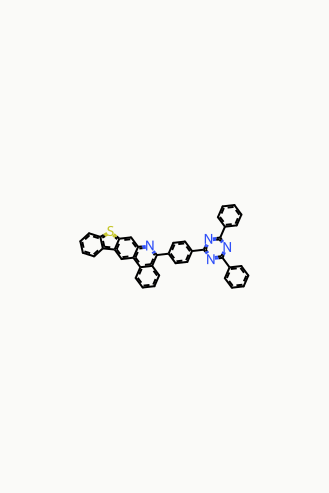 c1ccc(-c2nc(-c3ccccc3)nc(-c3ccc(-c4nc5cc6sc7ccccc7c6cc5c5ccccc45)cc3)n2)cc1